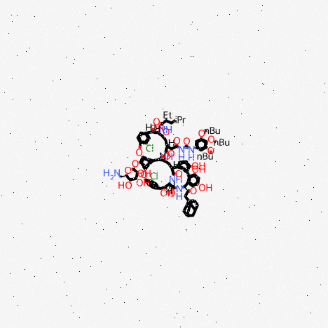 CCCCOc1cc(NC(=O)NC(=O)C[C@@H]2CC(=O)[C@H](NC(=O)[C@H](CC)CC(C)C)[C@H](O)c3ccc(c(Cl)c3)Oc3cc4cc(c3O[C@@H]3O[C@H](CN)[C@@H](O)[C@H](O)[C@H]3O)Oc3ccc(cc3Cl)[C@@H](O)[C@@H]3NC(=O)[C@H](CC(=O)[C@@H]4NC2=O)c2ccc(O)c(c2)-c2c(O)cc(O)cc2[C@@H](C(=O)CC2C4CC5CC(C4)CC2C5)NC3=O)cc(OCCCC)c1OCCCC